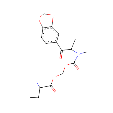 CC(C)CC(N)C(=O)OCOC(=O)N(C)C(C)C(=O)c1ccc2c(c1)OCO2